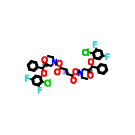 O=C(/C=C/C(=O)ON1CCO[C@H](C(Oc2cc(F)cc(F)c2Cl)c2ccccc2)C1)ON1CCO[C@H](C(Oc2cc(F)cc(F)c2Cl)c2ccccc2)C1